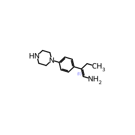 CC/C(=C\N)c1ccc(N2CCNCC2)cc1